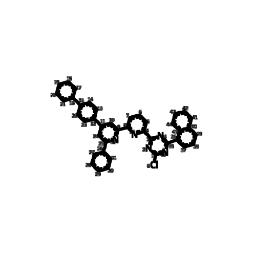 Clc1nc(-c2cccc(-c3cc(-c4ccc(-c5ccccc5)cc4)cc(-c4ccccc4)n3)n2)nc(-c2cccc3ccccc23)n1